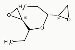 CCC(OC(CC)[C@@H]1CO1)[C@@H]1CO1